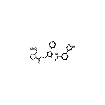 COC[C@@H]1CCCN1C(=O)CCc1cn(-c2ccccc2)c(NC(=O)c2cccc(-c3cn[nH]c3)c2)n1